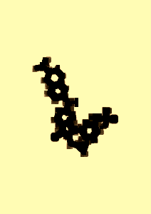 CN(C)C1CCc2cc(Nc3ncc4c(=O)n(CC5CC5)n(-c5cccc(N[SH](C)(C)=O)n5)c4n3)ccc2C1